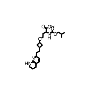 CC(C)COC(=O)NC(CCOC1CC(CCc2ccc3c(n2)NCCC3)C1)C(=O)O